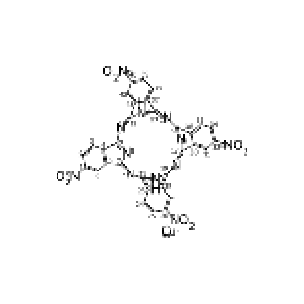 O=[N+]([O-])c1ccc2c(c1)-c1nc-2nc2[nH]c(nc3nc(nc4[nH]c(n1)c1ccc([N+](=O)[O-])cc41)-c1cc([N+](=O)[O-])ccc1-3)c1ccc([N+](=O)[O-])cc21.[Cu]